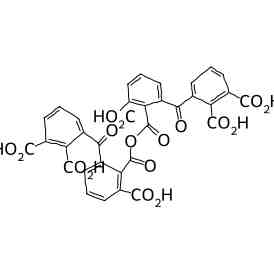 O=C(O)c1cccc(C(=O)c2cccc(C(=O)O)c2C(=O)OC(=O)c2c(C(=O)O)cccc2C(=O)c2cccc(C(=O)O)c2C(=O)O)c1C(=O)O